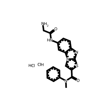 CN(C(=O)c1cn2c(nc3ccc(NC(=O)CN)cc32)s1)c1ccccc1.Cl.Cl